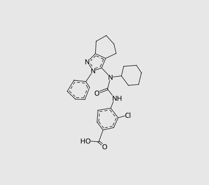 O=C(O)c1ccc(NC(=O)N(c2c3c(nn2-c2ccccc2)CCCC3)C2CCCCC2)c(Cl)c1